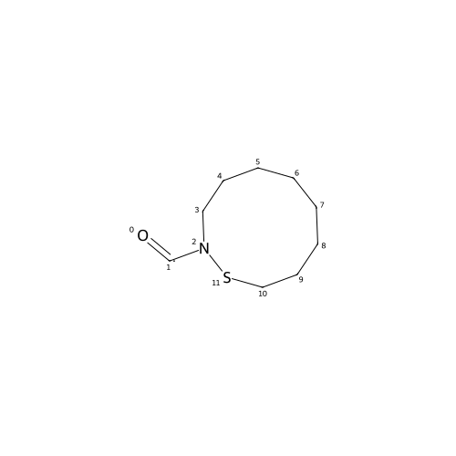 O=[C]N1CCCCCCCCS1